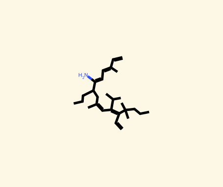 C=C/C(C)=C/C=C(\N)C(CCC)C/C(C)=C\C(=C(/C=C)C(C)(C)CCC)C(C)C